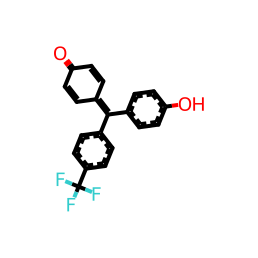 O=C1C=CC(=C(c2ccc(O)cc2)c2ccc(C(F)(F)F)cc2)C=C1